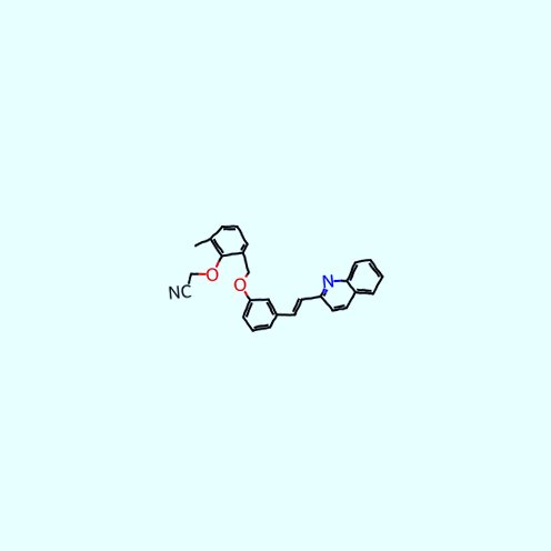 Cc1cccc(COc2cccc(/C=C/c3ccc4ccccc4n3)c2)c1OCC#N